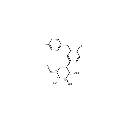 Cc1ccc(Cc2cc([C@@H]3S[C@H](CO)[C@@H](O)[C@H](O)[C@H]3O)ccc2Cl)cc1